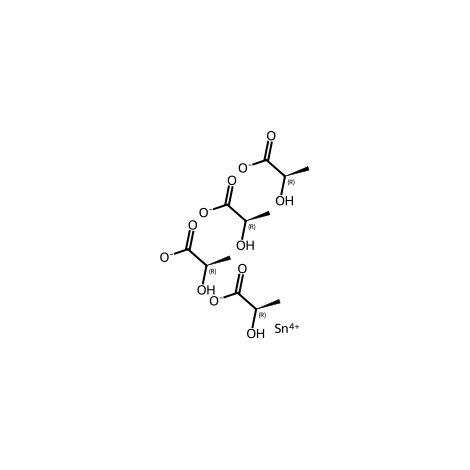 C[C@@H](O)C(=O)[O-].C[C@@H](O)C(=O)[O-].C[C@@H](O)C(=O)[O-].C[C@@H](O)C(=O)[O-].[Sn+4]